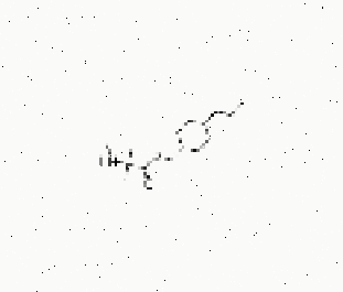 CCC[C@H]1CC[C@H](COC(=O)C(C)(C)NC)CC1